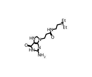 CCN(CC)CCNC(=O)CCN1CNc2c1nc(N)[nH]c2=O